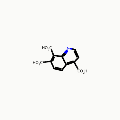 O=C(O)c1ccc2c(C(=O)O)ccnc2c1C(=O)O